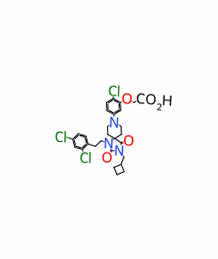 O=C(O)COc1cc(N2CCC3(CC2)C(=O)N(CC2CCC2)C(=O)N3CCc2ccc(Cl)cc2Cl)ccc1Cl